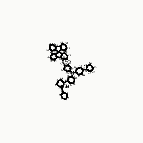 C1=CC2C(C3=CCCC=C3)[C@@H]2C(c2cccc(N(c3ccc(-c4ccccc4)cc3)c3ccc4c(c3)OC3=C(O4)C4=C(CC3)C3(c5ccccc54)c4ccccc4-c4ccccc43)c2)=C1